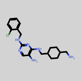 NCC1CCC(CNc2nc(NCc3ccccc3Cl)ncc2N)CC1